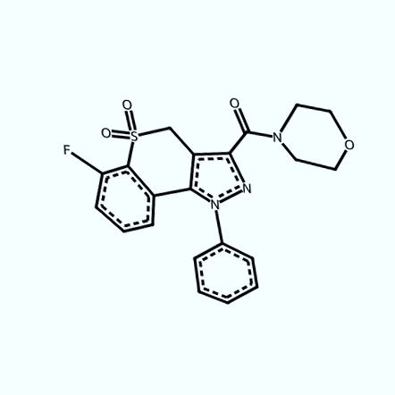 O=C(c1nn(-c2ccccc2)c2c1CS(=O)(=O)c1c(F)cccc1-2)N1CCOCC1